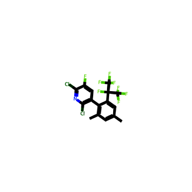 Cc1[c]c(C)c(-c2cc(F)c(Cl)nc2Cl)c(C(F)(C(F)(F)F)C(F)(F)F)c1